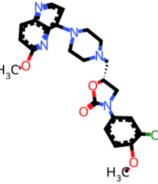 COc1ccc2nccc(N3CCN(C[C@@H]4CN(c5ccc(OC)c(Cl)c5)C(=O)O4)CC3)c2n1